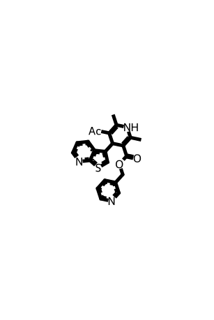 CC(=O)C1=C(C)NC(C)=C(C(=O)OCc2cccnc2)C1c1csc2ncccc12